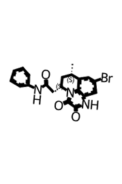 C[C@H]1C[C@@H](CC(=O)Nc2ccccc2)n2c(=O)c(=O)[nH]c3cc(Br)cc1c32